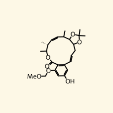 COCOc1cc(O)cc2c1C(=O)OC(C)[C@H](C)/C=C\C(C)C1OC(C)(C)OC1C/C=C/2